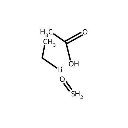 CC(=O)O.O=[SH2].[Li][CH2]C